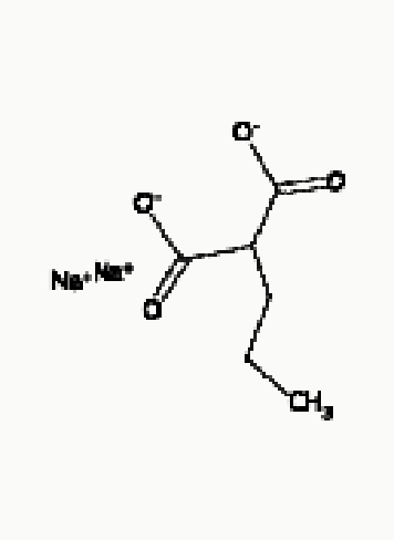 CCCC(C(=O)[O-])C(=O)[O-].[Na+].[Na+]